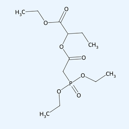 CCOC(=O)C(CC)OC(=O)CP(=O)(OCC)OCC